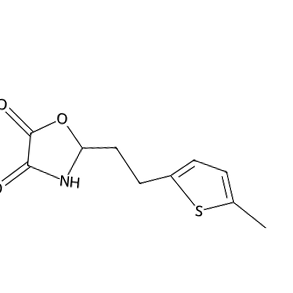 Cc1ccc(CCC2NC(=O)C(=O)O2)s1